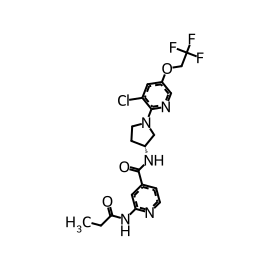 CCC(=O)Nc1cc(C(=O)N[C@@H]2CCN(c3ncc(OCC(F)(F)F)cc3Cl)C2)ccn1